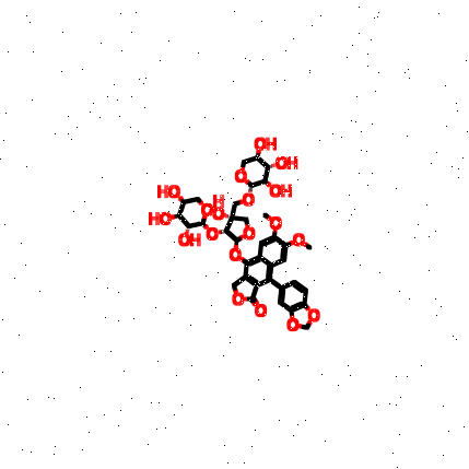 COc1cc2c(O[C@@H]3OC[C@](O)(CO[C@@H]4OC[C@@H](O)[C@H](O)[C@H]4O)[C@H]3O[C@@H]3OC[C@H](O)[C@H](O)[C@H]3O)c3c(c(-c4ccc5c(c4)OCO5)c2cc1OC)C(=O)OC3